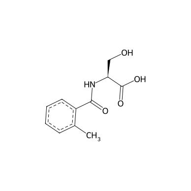 Cc1ccccc1C(=O)N[C@@H](CO)C(=O)O